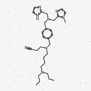 CCCN(CCC)CCCCN(CCC#N)Cc1ccc(CN(Cc2ncc[nH]2)Cc2nccn2C)cc1